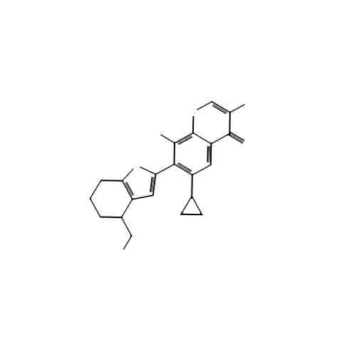 COc1c(-c2cc3c(s2)CCCC3CO)c(C2CC2)cc2c(=O)c(C(=O)O)c[nH]c12